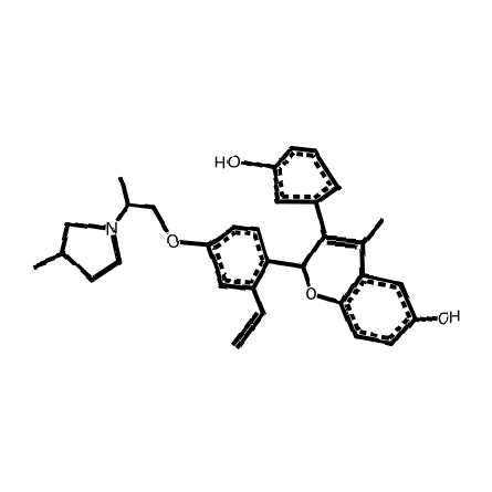 C=Cc1cc(OCC(C)N2CCC(C)C2)ccc1C1Oc2ccc(O)cc2C(C)=C1c1cccc(O)c1